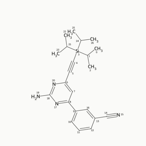 CC(C)[Si](C#Cc1cc(-c2cccc(C#N)c2)nc(N)n1)(C(C)C)C(C)C